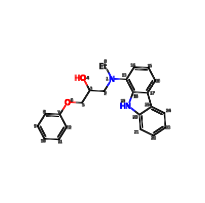 CCN(CC(O)COc1ccccc1)c1cccc2c1[nH]c1ccccc12